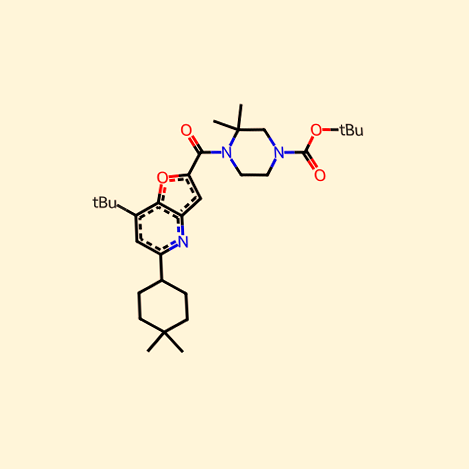 CC1(C)CCC(c2cc(C(C)(C)C)c3oc(C(=O)N4CCN(C(=O)OC(C)(C)C)CC4(C)C)cc3n2)CC1